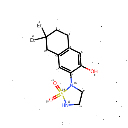 CCC1(CC)CCc2cc(O)c(N3CCNS3(=O)=O)cc2C1